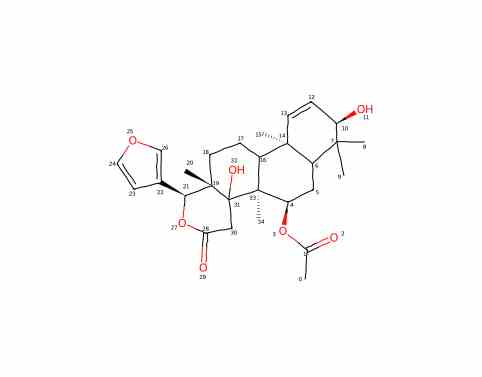 CC(=O)O[C@@H]1CC2C(C)(C)[C@H](O)C=C[C@]2(C)C2CC[C@@]3(C)[C@H](c4ccoc4)OC(=O)CC3(O)[C@@]21C